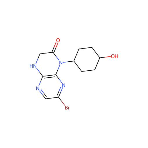 O=C1CNc2ncc(Br)nc2N1C1CCC(O)CC1